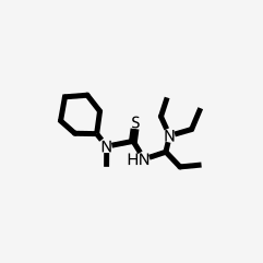 CCC(NC(=S)N(C)C1CCCCC1)N(CC)CC